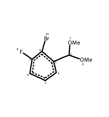 COC(OC)c1cccc(F)c1Br